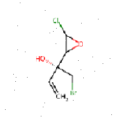 C=C[C@](O)(CBr)C1OC1Cl